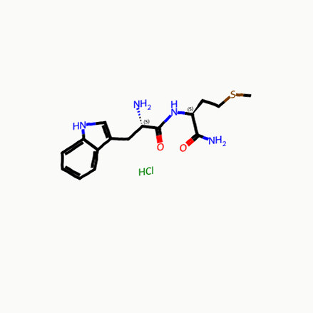 CSCC[C@H](NC(=O)[C@@H](N)Cc1c[nH]c2ccccc12)C(N)=O.Cl